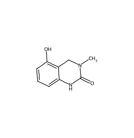 CN1Cc2c(O)cccc2NC1=O